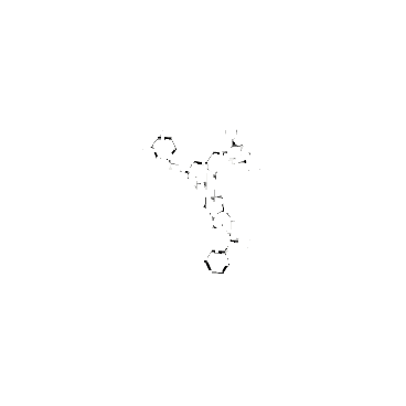 O=C1NC(=O)C(=Cc2cc(Oc3ccccc3)nc(N3CC4CN(C(=O)c5ccccc5)CC4C3)n2)S1